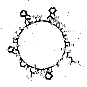 CCCC[C@H]1C(=O)N(C)[C@@H](CCCC)C(=O)NC(CO)C(=O)N[C@H](C(=O)NCC(N)=O)CSCC(=O)N[C@@H](Cc2ccccc2)C(=O)N(C)[C@@H](C)C(=O)N[C@@H](CC(N)=O)C(=O)N2CCC[C@H]2C(=O)N[C@@H](Cc2cnc[nH]2)C(=O)N[C@@H](CC(C)C)C(=O)N(C)CC(=O)N[C@@H](Cc2c[nH]c3ccccc23)C(=O)N[C@@H](CO)C(=O)N[C@@H](Cc2c[nH]c3ccccc23)C(=O)N1C